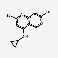 CCc1cc(NC2CC2)c2ccc(O)cc2n1